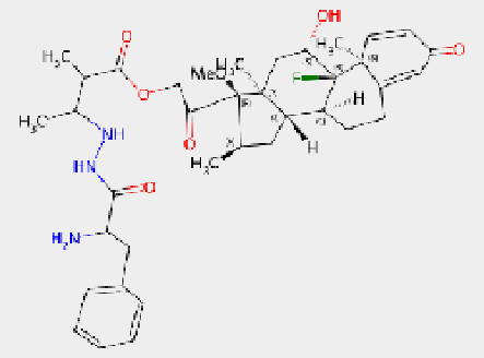 CO[C@]1(C(=O)COC(=O)C(C)C(C)NNC(=O)C(N)Cc2ccccc2)[C@H](C)C[C@H]2[C@@H]3CCC4=CC(=O)C=C[C@]4(C)[C@@]3(F)[C@@H](O)C[C@@]21C